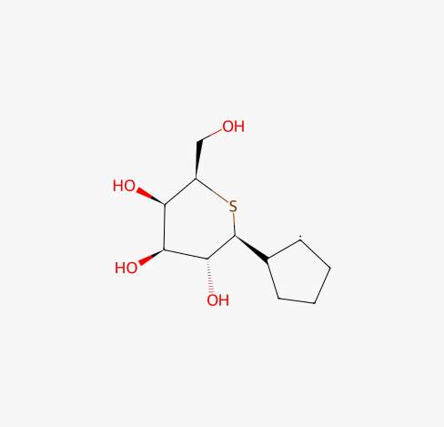 OC[C@H]1S[C@@H](C2[CH]CCC2)[C@H](O)[C@@H](O)[C@H]1O